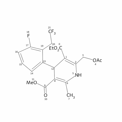 CCOC(=O)C1=C(COC(C)=O)NC(C)=C(C(=O)OC)C1c1cccc(F)c1CC(F)(F)F